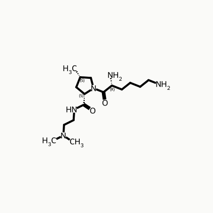 C[C@H]1C[C@@H](C(=O)NCCN(C)C)N(C(=O)[C@H](N)CCCCN)C1